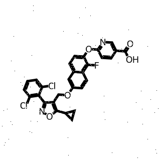 O=C(O)c1ccc(Oc2ccc3cc(OCc4c(-c5c(Cl)cccc5Cl)noc4C4CC4)ccc3c2F)nc1